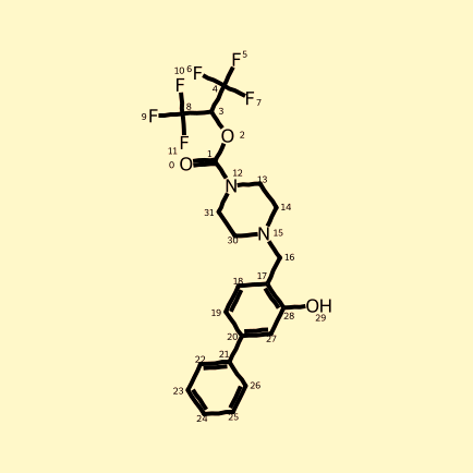 O=C(OC(C(F)(F)F)C(F)(F)F)N1CCN(Cc2ccc(-c3ccccc3)cc2O)CC1